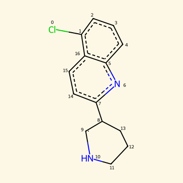 Clc1cccc2nc(C3[CH]NCCC3)ccc12